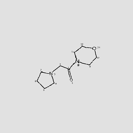 O=C(CN1CCCC1)N1CCOCC1